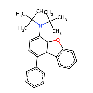 CC(C)(C)N(C1=CC=C(c2ccccc2)C2c3ccccc3OC12)C(C)(C)C